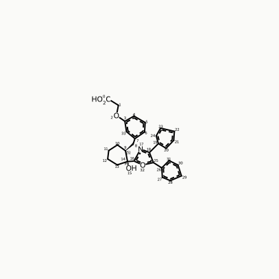 O=C(O)COc1cccc(C[C@@H]2CCCC[C@]2(O)c2nc(-c3ccccc3)c(-c3ccccc3)o2)c1